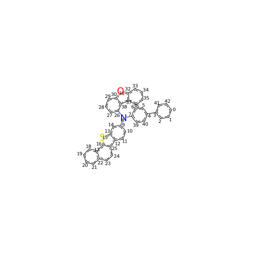 c1ccc(-c2ccc(N(c3ccc4c(c3)sc3c5ccccc5ccc43)c3cccc4oc5ccccc5c34)cc2)cc1